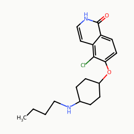 CCCCNC1CCC(Oc2ccc3c(=O)[nH]ccc3c2Cl)CC1